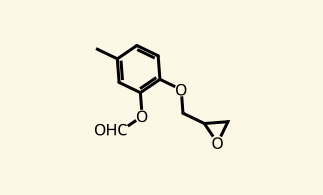 Cc1ccc(OCC2CO2)c(OC=O)c1